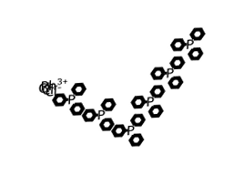 [Cl-].[Cl-].[Cl-].[Rh+3].c1ccc(P(c2ccccc2)c2ccccc2)cc1.c1ccc(P(c2ccccc2)c2ccccc2)cc1.c1ccc(P(c2ccccc2)c2ccccc2)cc1.c1ccc(P(c2ccccc2)c2ccccc2)cc1.c1ccc(P(c2ccccc2)c2ccccc2)cc1.c1ccc(P(c2ccccc2)c2ccccc2)cc1